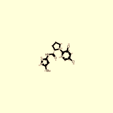 CC(C)(C)c1cc(NC(=O)[C@@H]2CCCN2c2ncc(Cl)cc2Cl)on1